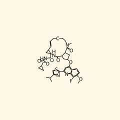 COc1ccc2c(OC3CC4C(=O)NC5(C(=O)NS(=O)(=O)C6CC6)CC5/C=C/CCCCN(C)C(=O)C4C3)cc(-c3nc(C(C)C)cs3)nc2c1F